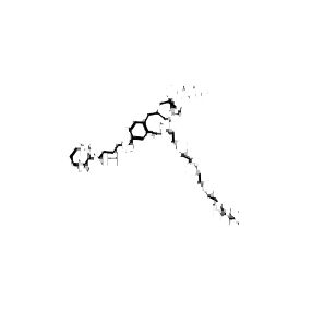 COC(=O)C[C@@H]1Cc2ccc(OCCCNc3ncccn3)cc2CN(CCOCCOCCOCCN=[N+]=[N-])C1=O